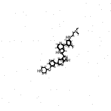 CN(C)CCNc1cc(F)cc(-c2nccc3[nH]c(-c4n[nH]c5ncc(-c6cncc(OC7CCNCC7)c6)cc45)cc23)c1